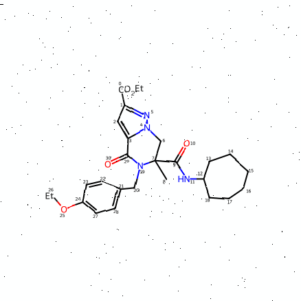 CCOC(=O)c1cc2n(n1)CC(C)(C(=O)NC1CCCCCC1)N(Cc1ccc(OCC)cc1)C2=O